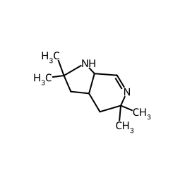 CC1(C)CC2CC(C)(C)NC2C=N1